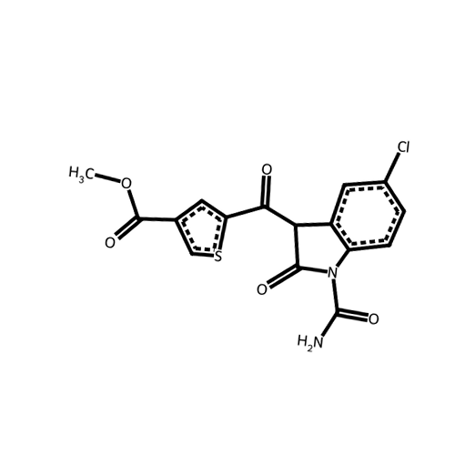 COC(=O)c1csc(C(=O)C2C(=O)N(C(N)=O)c3ccc(Cl)cc32)c1